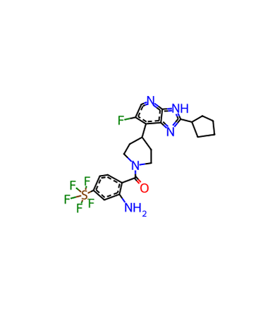 Nc1cc(S(F)(F)(F)(F)F)ccc1C(=O)N1CCC(c2c(F)cnc3[nH]c(C4CCCC4)nc23)CC1